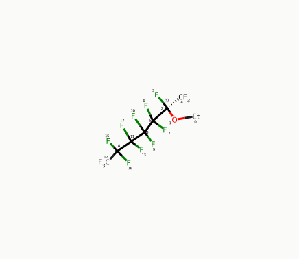 CCO[C@@](F)(C(F)(F)F)C(F)(F)C(F)(F)C(F)(F)C(F)(F)C(F)(F)F